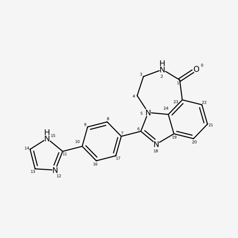 O=C1NCCn2c(-c3ccc(-c4ncc[nH]4)cc3)nc3cccc1c32